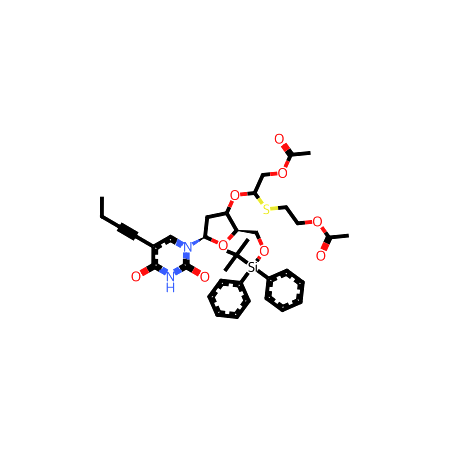 CCC#Cc1cn([C@H]2CC(OC(COC(C)=O)SCCOC(C)=O)[C@@H](CO[Si](c3ccccc3)(c3ccccc3)C(C)(C)C)O2)c(=O)[nH]c1=O